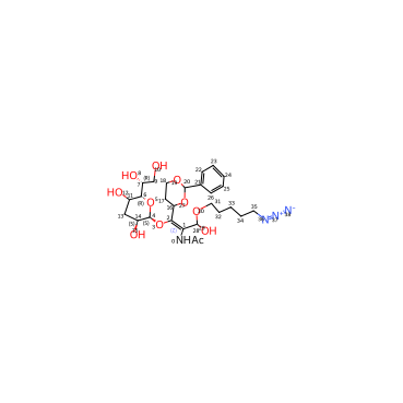 CC(=O)N/C(=C(\O[C@@H]1O[C@@H]([C@H](O)CO)C(O)C[C@@H]1O)C1CCOC(c2ccccc2)O1)C(O)OCCCCCN=[N+]=[N-]